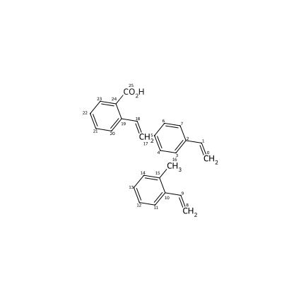 C=Cc1ccccc1.C=Cc1ccccc1C.C=Cc1ccccc1C(=O)O